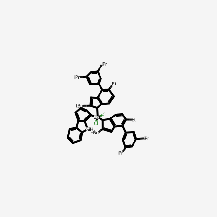 CCc1ccc2c(c1-c1cc(C(C)C)cc(C(C)C)c1)C=C(C(C)(C)C)[CH]2[Zr]([Cl])([Cl])([c]1cccc2c1[SiH2]c1ccccc1-2)[CH]1C(C(C)(C)C)=Cc2c1ccc(CC)c2-c1cc(C(C)C)cc(C(C)C)c1